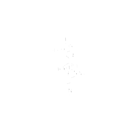 C/C=C(\PC1C(C)=CC(C2=CCN(C3CC3)CC2)=CN1C=O)c1ccc(OC)c(OC)c1